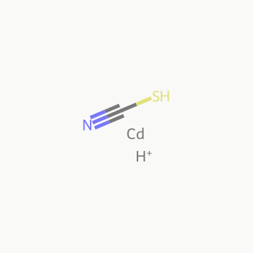 N#CS.[Cd].[H+]